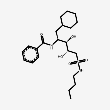 CCCCNS(=O)(=O)C[C@H](O)[C@H](O)[C@H](CC1CCCCC1)NC(=O)c1ccccc1